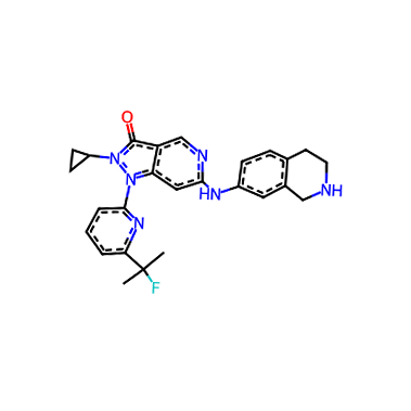 CC(C)(F)c1cccc(-n2c3cc(Nc4ccc5c(c4)CNCC5)ncc3c(=O)n2C2CC2)n1